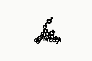 Cc1nc(C(=O)N2CCS(=O)(=O)CC2)c(-c2ccc(OCCc3ccc(F)cc3)cc2)c(N2CCC(C)(C)CC2)c1[C@H](OC(C)(C)C)C(=O)O